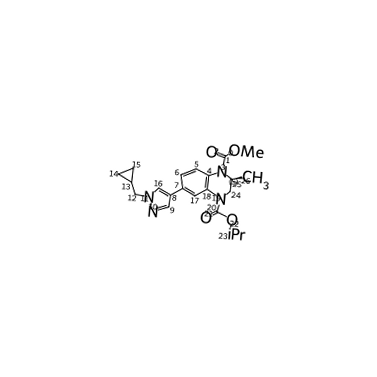 COC(=O)N1c2ccc(-c3cnn(CC4CC4)c3)cc2N(C(=O)OC(C)C)C[C@@H]1C